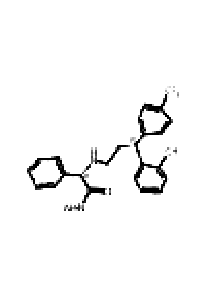 CNC(=O)[C@H](NCC[C@@H](c1ccc(C(F)(F)F)cc1)c1ccccc1C)c1ccccc1